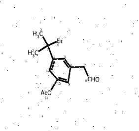 CCC(C)(C)c1cc(CC=O)cc(OC(C)=O)c1